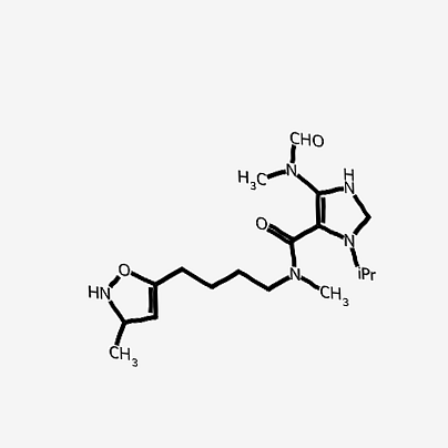 CC1C=C(CCCCN(C)C(=O)C2=C(N(C)C=O)NCN2C(C)C)ON1